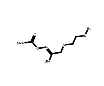 CCSCCSCC(=NOC(=O)NC)C(C)(C)C